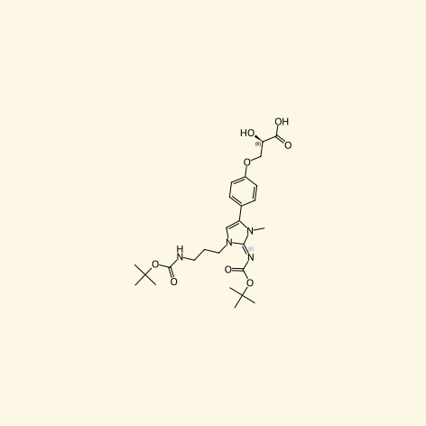 Cn1c(-c2ccc(OC[C@@H](O)C(=O)O)cc2)cn(CCCNC(=O)OC(C)(C)C)/c1=N\C(=O)OC(C)(C)C